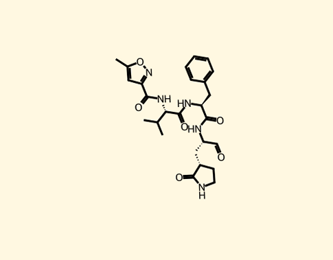 Cc1cc(C(=O)N[C@H](C(=O)N[C@@H](Cc2ccccc2)C(=O)N[C@H](C=O)C[C@@H]2CCNC2=O)C(C)C)no1